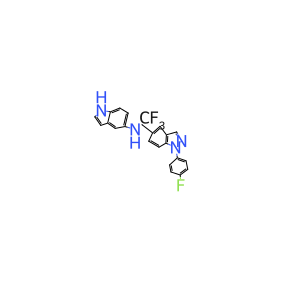 Fc1ccc(-n2ncc3cc(C(Nc4ccc5[nH]ccc5c4)C(F)(F)F)ccc32)cc1